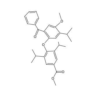 COC(=O)c1cc(C(C)C)c(Oc2cc(C(C)C)c(OC)cc2C(=O)c2ccccc2)c(C(C)C)c1